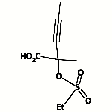 CC#CC(C)(OS(=O)(=O)CC)C(=O)O